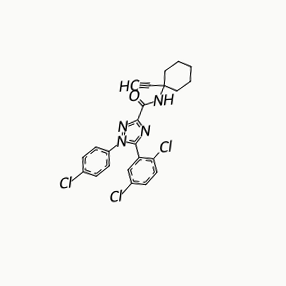 C#CC1(NC(=O)c2nc(-c3cc(Cl)ccc3Cl)n(-c3ccc(Cl)cc3)n2)CCCCC1